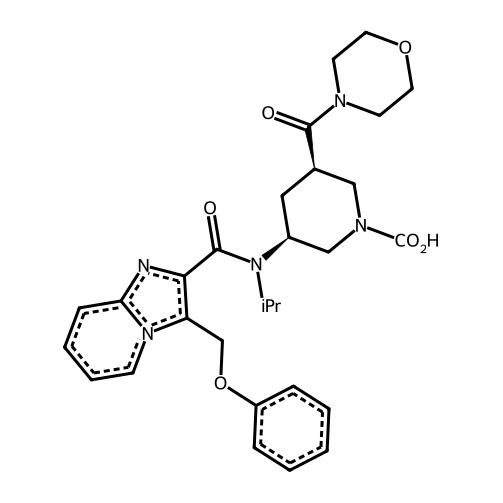 CC(C)N(C(=O)c1nc2ccccn2c1COc1ccccc1)[C@H]1C[C@@H](C(=O)N2CCOCC2)CN(C(=O)O)C1